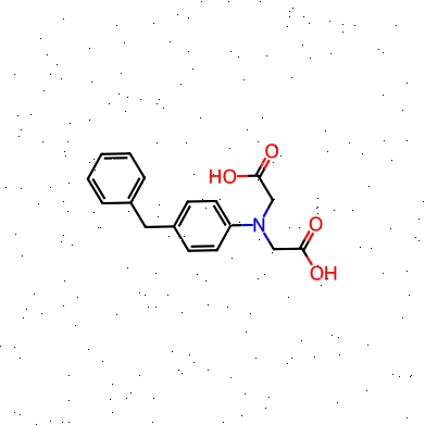 O=C(O)CN(CC(=O)O)c1ccc(Cc2ccccc2)cc1